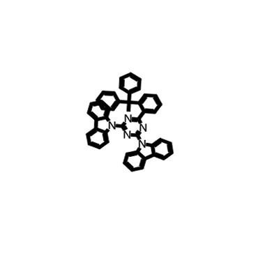 CC(c1ccccc1)(c1ccccc1)c1ccccc1-c1nc(-n2c3ccccc3c3ccccc32)nc(-n2c3ccccc3c3ccccc32)n1